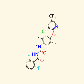 Cc1cc(N(C)C(=O)NC(=O)c2c(F)cccc2F)c(C)cc1Oc1ncc(C(F)(F)F)cc1Cl